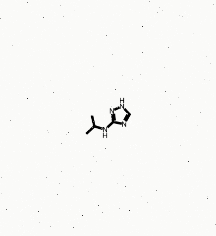 CC(C)Nc1nc[nH]n1